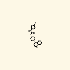 O=C(C[C@H]1CC[C@@H](c2ccnc3ccccc32)CC1)Nc1ccc(F)cc1